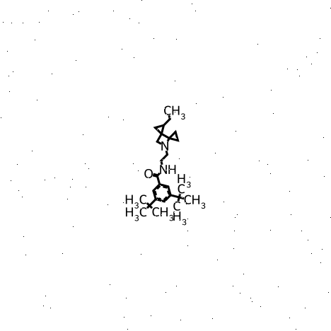 CCC1CC12CN(CCNC(=O)c1cc(C(C)(C)C)cc(C(C)(C)C)c1)C21CC1